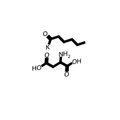 CCCCC[C](=O)[K].NC(CC(=O)O)C(=O)O